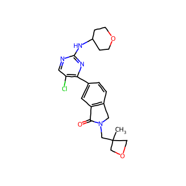 CC1(CN2Cc3ccc(-c4nc(NC5CCOCC5)ncc4Cl)cc3C2=O)COC1